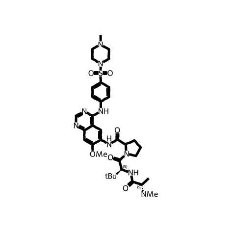 CN[C@@H](C)C(=O)N[C@H](C(=O)N1CCCC1C(=O)Nc1cc2c(Nc3ccc(S(=O)(=O)N4CCN(C)CC4)cc3)ncnc2cc1OC)C(C)(C)C